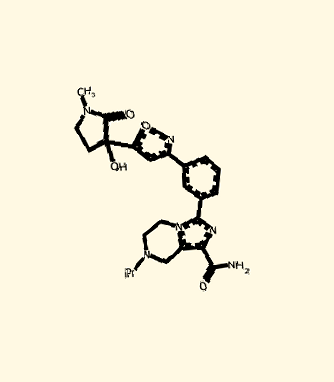 CC(C)N1CCn2c(-c3cccc(-c4cc(C5(O)CCN(C)C5=O)on4)c3)nc(C(N)=O)c2C1